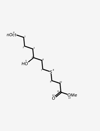 CCCCCCCCCCCC(O)CCSCCC(=O)OC